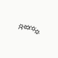 Fc1cccc(-c2nc3cnn(Cc4ccc(-c5cncnc5)cc4)cc-3n2)c1F